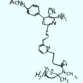 CC(=O)Nc1ccc(-c2nc(SCc3cccc(CCC(=O)N(C)C(C)(C)CN)n3)nc(N)c2C#N)cc1